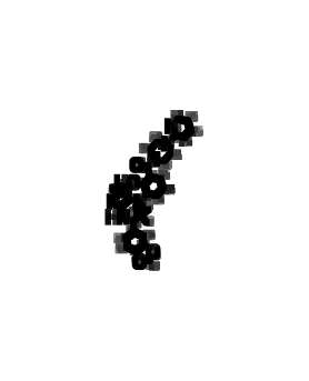 CC(C)(C)[C@@H](Nc1nsnc1Nc1cccc(C(=O)N2CCN(c3ccccn3)CC2)c1O)c1ccc2c(c1)OCO2